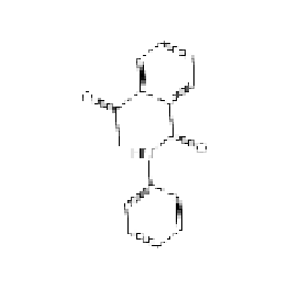 O=C(I)c1ccccc1C(=O)Nc1ccccc1